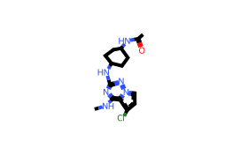 CNc1nc(NC2CCC(NC(C)=O)CC2)nn2ccc(Cl)c12